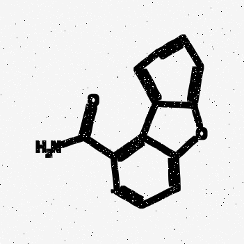 NC(=O)c1[c]ccc2oc3ccccc3c12